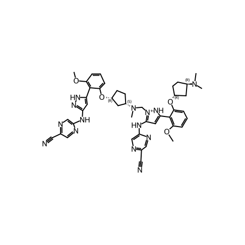 COc1cccc(O[C@@H]2CC[C@H](N(C)C[n+]3[nH]c(-c4c(OC)cccc4O[C@@H]4CC[C@@H](N(C)C)C4)cc3Nc3cnc(C#N)cn3)C2)c1-c1cc(Nc2cnc(C#N)cn2)n[nH]1